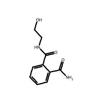 NC(=O)c1ccccc1C(=O)NCCO